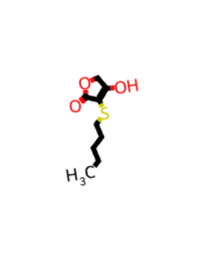 CCCCCSC1=C(O)COC1=O